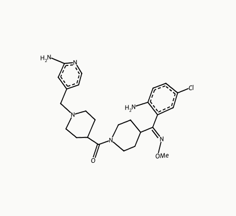 CON=C(c1cc(Cl)ccc1N)C1CCN(C(=O)C2CCN(Cc3ccnc(N)c3)CC2)CC1